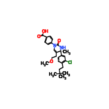 COCCC1=CN(c2ccc(C(=O)O)cc2)C(=O)N[C@@]1(C)c1ccc(CCC(C)(C)C)c(Cl)c1